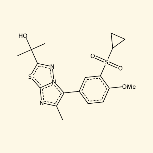 COc1ccc(-c2c(C)nc3sc(C(C)(C)O)nn23)cc1S(=O)(=O)C1CC1